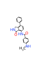 CNc1ccc(C(=O)Nc2ccc(-c3ccccc3)c3c2C(=O)NC3)cc1